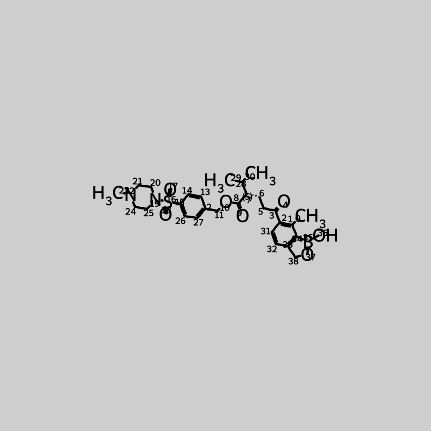 Cc1c(C(=O)CC[C@H](C(=O)OCc2ccc(S(=O)(=O)N3CCN(C)CC3)cc2)C(C)C)ccc2c1B(O)OC2